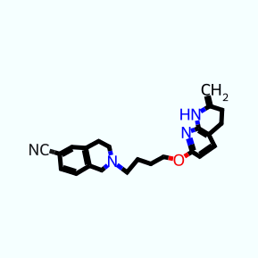 C=C1CCc2ccc(OCCCCN3CCc4cc(C#N)ccc4C3)nc2N1